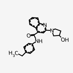 CCc1ccc(NC(=O)c2cc(N3CCC(O)C3)nc3ccccc23)cc1